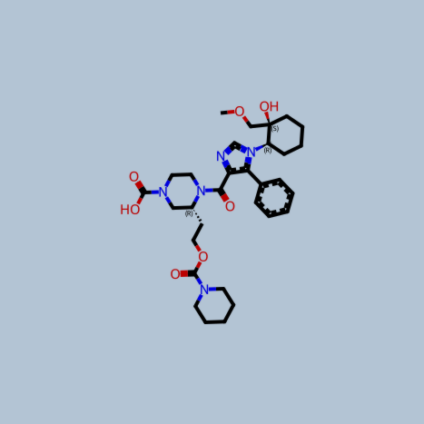 COC[C@]1(O)CCCC[C@H]1n1cnc(C(=O)N2CCN(C(=O)O)C[C@H]2CCOC(=O)N2CCCCC2)c1-c1ccccc1